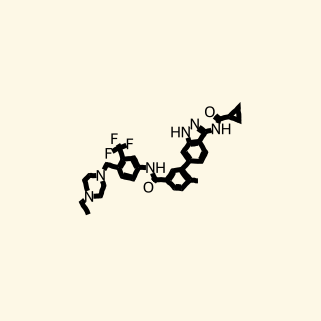 CCN1CCN(Cc2ccc(NC(=O)c3ccc(C)c(-c4ccc5c(NC(=O)C6CC6)n[nH]c5c4)c3)cc2C(F)(F)F)CC1